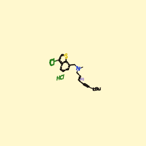 CN(C/C=C/C#CC(C)(C)C)Cc1cccc2c(Cl)csc12.Cl